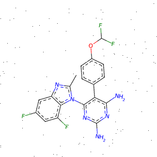 Cc1nc2cc(F)cc(F)c2n1-c1nc(N)nc(N)c1-c1ccc(OC(F)F)cc1